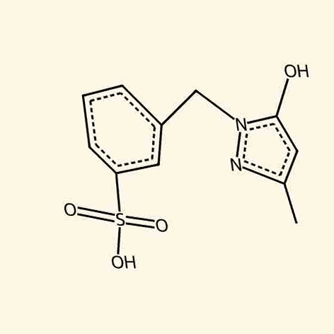 Cc1cc(O)n(Cc2cccc(S(=O)(=O)O)c2)n1